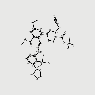 COC(=O)c1nc(SC)nc(N2CCN(C(=O)OC(C)(C)C)C(CC#N)C2)c1/C=N/Nc1cccc(C2OCCO2)c1C(F)(F)F